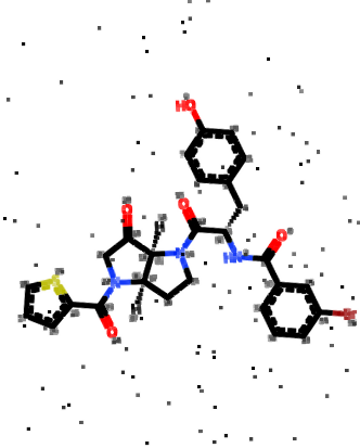 O=C(N[C@@H](Cc1ccc(O)cc1)C(=O)N1CC[C@@H]2[C@H]1C(=O)CN2C(=O)c1cccs1)c1cccc(Br)c1